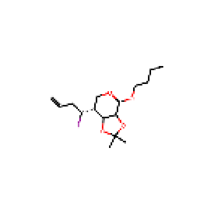 C=CCC(I)[C@@H]1CO[C@@H](OCCCC)C2OC(C)(C)OC21